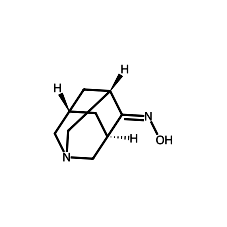 O/N=C1\[C@@H]2C[C@H]3C[C@H]1CN(C3)C2